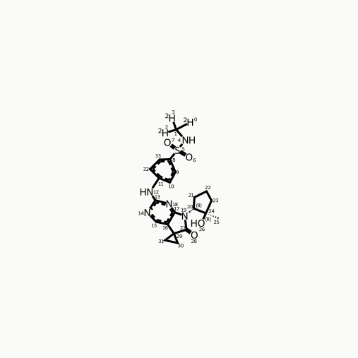 [2H]C([2H])([2H])NS(=O)(=O)c1ccc(Nc2ncc3c(n2)N([C@@H]2CCC[C@@]2(C)O)C(=O)C32CC2)cc1